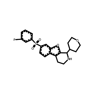 O=S(=O)(c1cccc(F)c1)c1ccc2c3c(oc2c1)C(C1CCOCC1)NCC3